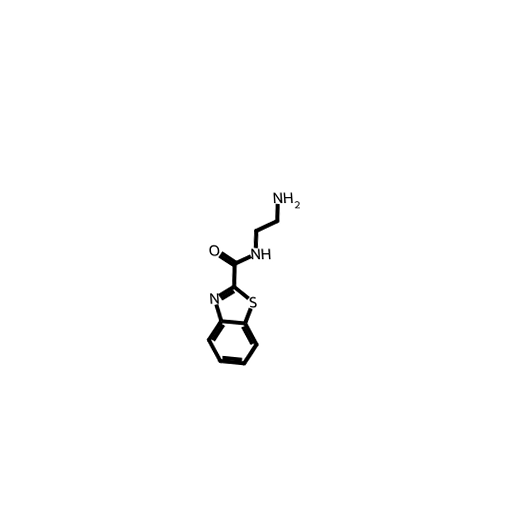 NCCNC(=O)c1nc2ccccc2s1